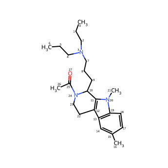 CCCN(CCC)CCCC1c2c(c3cc(C)ccc3n2C)CCN1C(C)=O